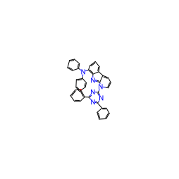 c1ccc(-c2nc(-c3ccccc3)nc(-n3cccc4c5cccc(N(c6ccccc6)c6ccccc6)c5nc3-4)n2)cc1